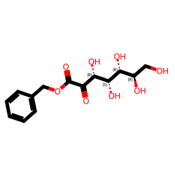 O=C(OCc1ccccc1)C(=O)[C@H](O)[C@@H](O)[C@H](O)[C@H](O)CO